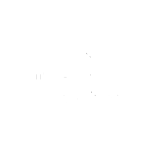 CC(C)(C)ON=O.[N]